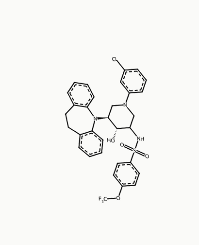 O=S(=O)(NC1CN(c2cccc(Cl)c2)C[C@H](N2c3ccccc3CCc3ccccc32)[C@H]1O)c1ccc(OC(F)(F)F)cc1